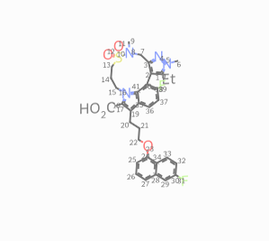 CCc1c2c(nn1C)CN(C)S(=O)(=O)CCCn1c(C(=O)O)c(CCCOc3cccc4cc(F)ccc34)c3ccc(F)c-2c31